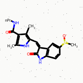 CCCNC(=O)c1c(C)[nH]c(/C=C2\C(=O)Nc3ccc([S+](C)[O-])cc32)c1C